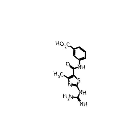 Cc1nc(NC(=N)N)sc1C(=O)Nc1cccc(C(=O)O)c1